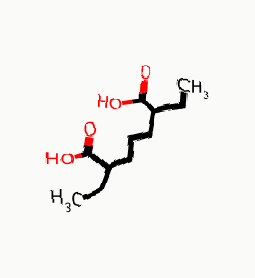 CCC(CCCC(CC)C(=O)O)C(=O)O